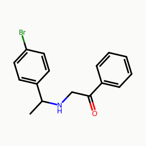 CC(NCC(=O)c1ccccc1)c1ccc(Br)cc1